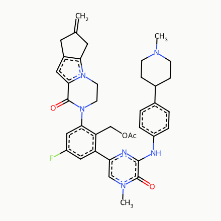 C=C1Cc2cc3n(c2C1)CCN(c1cc(F)cc(-c2cn(C)c(=O)c(Nc4ccc(C5CCN(C)CC5)cc4)n2)c1COC(C)=O)C3=O